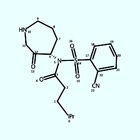 CC(C)C[CH]C(=O)N([C@H]1CCCNCC1=O)S(=O)(=O)c1ccccc1C#N